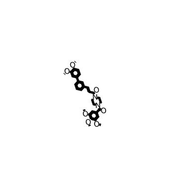 COc1ccc(-c2cccc(C=CC(=O)N3CCN(C(=O)c4cc(OC)c(OC)c(OC)c4)CC3)c2)cc1OC